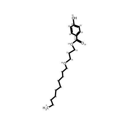 CCCCCCCCCCOCCCOC(=O)c1ccc(O)cc1